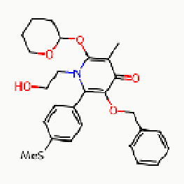 CSc1ccc(-c2c(OCc3ccccc3)c(=O)c(C)c(OC3CCCCO3)n2CCO)cc1